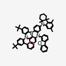 Cc1cc2c3c(c1)N(c1cccc4c1oc1ccccc14)c1cc(N4c5cc(C)cc(C)c5C5(C)CCCCC45C)ccc1B3c1ccc(C(C)(C)C)cc1N2c1ccc(C(C)(C)C)cc1-c1ccccc1